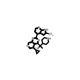 CC(N)(c1nc(-c2ccnc3[nH]c(C(F)(F)F)cc23)nc2cncc(C3CC3)c12)C1CCNCC1